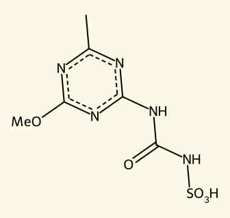 COc1nc(C)nc(NC(=O)NS(=O)(=O)O)n1